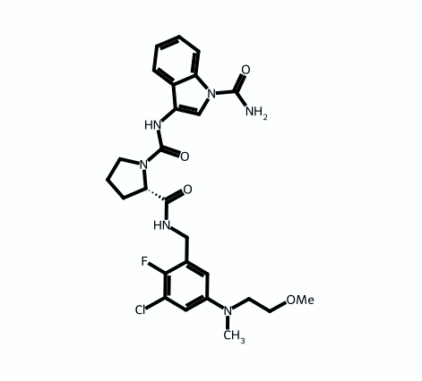 COCCN(C)c1cc(Cl)c(F)c(CNC(=O)[C@@H]2CCCN2C(=O)Nc2cn(C(N)=O)c3ccccc23)c1